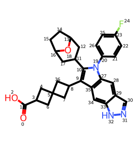 O=C(O)C1CC2(C1)CC(c1c(C3CC4CCC(C3)O4)n(-c3ccc(F)cc3)c3cc4cn[nH]c4cc13)C2